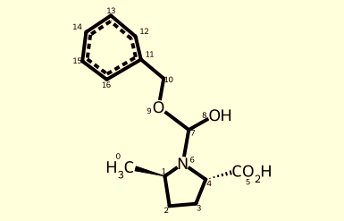 C[C@@H]1CC[C@@H](C(=O)O)N1C(O)OCc1ccccc1